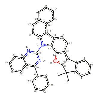 CC1(C)c2ccccc2-c2c1oc1c2ccc2c3c4ccccc4ccc3n(-c3nc(-c4ccccc4)c4ccccc4n3)c21